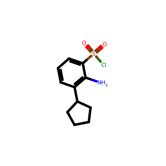 Nc1c(C2CCCC2)cccc1S(=O)(=O)Cl